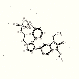 CCn1c(=O)n(CC)c2cc(-c3cnn(CCOS(C)(=O)=O)c3-c3cccc(C)c3)ccc21